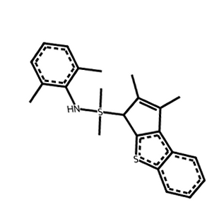 CC1=C(C)C(S(C)(C)Nc2c(C)cccc2C)c2sc3ccccc3c21